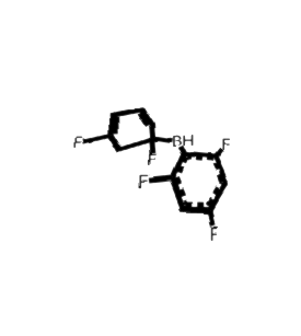 FC1=CC=CC(F)(Bc2c(F)cc(F)cc2F)C1